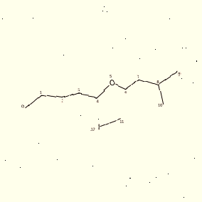 CCCCCOCCC(C)C.CI